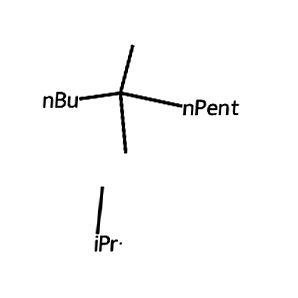 CCCCCC(C)(C)CCCC.C[C](C)C